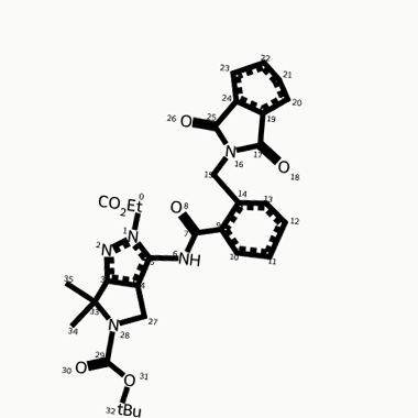 CCOC(=O)n1nc2c(c1NC(=O)c1ccccc1CN1C(=O)c3ccccc3C1=O)CN(C(=O)OC(C)(C)C)C2(C)C